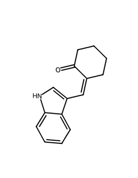 O=C1CCCCC1=Cc1c[nH]c2ccccc12